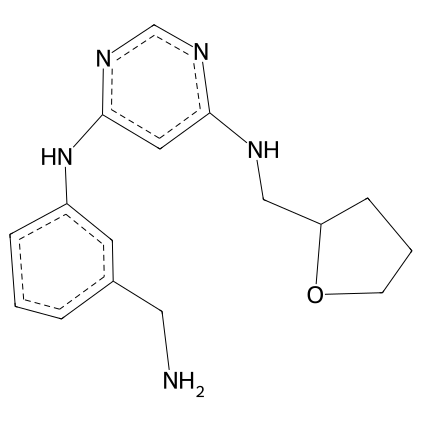 NCc1cccc(Nc2cc(NCC3CCCO3)ncn2)c1